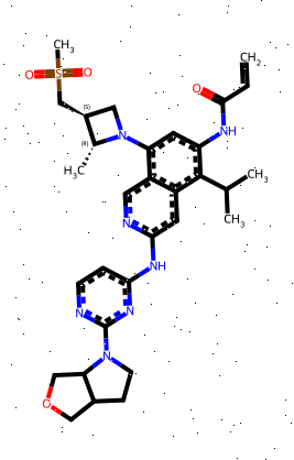 C=CC(=O)Nc1cc(N2C[C@H](CS(C)(=O)=O)[C@H]2C)c2cnc(Nc3ccnc(N4CCC5COCC54)n3)cc2c1C(C)C